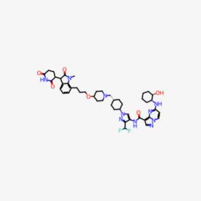 CN1C(=O)C(C2CCC(=O)NC2=O)c2cccc(CCCOC3CCN(C[C@H]4CC[C@H](n5cc(NC(=O)c6cnn7ccc(N[C@H]8CCCC[C@H]8O)nc67)c(C(F)F)n5)CC4)CC3)c21